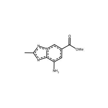 COC(=O)c1cc(N)c2nc(C)nn2c1